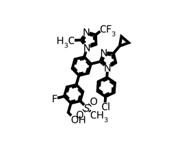 Cc1nc(C(F)(F)F)cn1-c1ccc(-c2cc(F)c(CO)c(S(C)(=O)=O)c2)cc1-c1nc(C2CC2)cn1-c1ccc(Cl)cc1